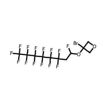 FC(CC(F)(F)C(F)(F)C(F)(F)C(F)(F)C(F)(F)C(F)(F)F)OC1(Br)COC1